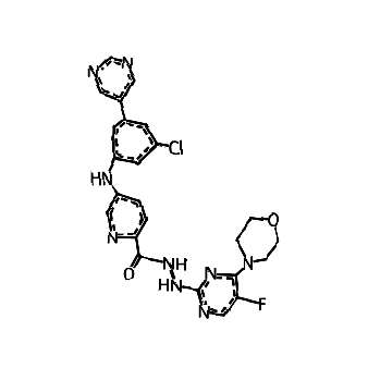 O=C(NNc1ncc(F)c(N2CCOCC2)n1)c1ccc(Nc2cc(Cl)cc(-c3cncnc3)c2)cn1